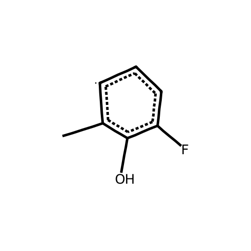 Cc1[c]ccc(F)c1O